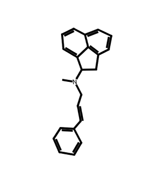 CN(C/C=C/c1ccccc1)C1Cc2cccc3cccc1c23